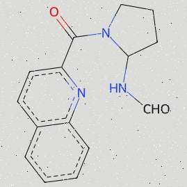 O=CNC1CCCN1C(=O)c1ccc2ccccc2n1